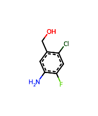 Nc1cc(CO)c(Cl)cc1F